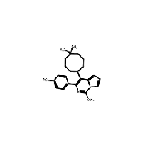 COc1nc(-c2ccc(C#N)cc2)c(C2CCCC(C)(C)CCC2)c2cncn12